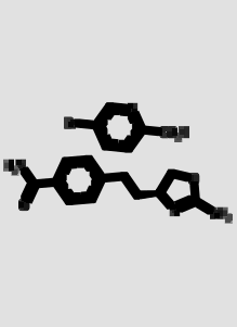 NC(=O)c1ccc(CC[C@H]2COC(N)=N2)cc1.O=C(O)c1ccc(Br)cn1